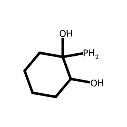 OC1CCCCC1(O)P